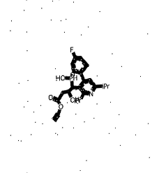 C#COC(=O)CC(O)C(c1c(-c2ccc(F)cc2)cc(C(C)C)nc1C(C)C)[PH](=O)O